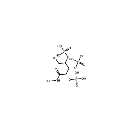 CNC(=O)[C@@H](OP(=O)(O)O)[C@@H](OP(=O)(O)O)[C@@H](CO)OP(=O)(O)O